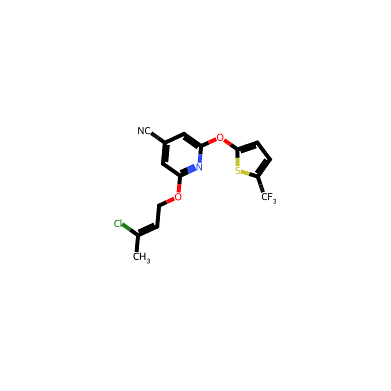 CC(Cl)=CCOc1cc(C#N)cc(Oc2ccc(C(F)(F)F)s2)n1